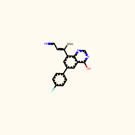 CN/C(=C\C=N)c1cc(-c2ccc(F)cc2)cc2c(O)ncnc12